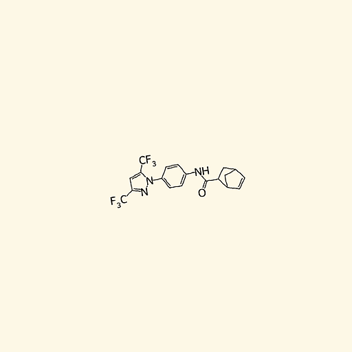 O=C(Nc1ccc(-n2nc(C(F)(F)F)cc2C(F)(F)F)cc1)C1CC2C=CC1C2